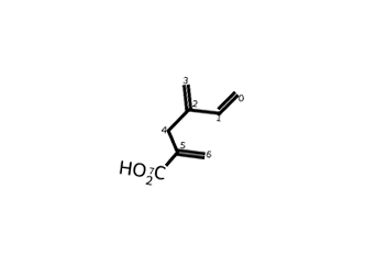 C=CC(=C)CC(=C)C(=O)O